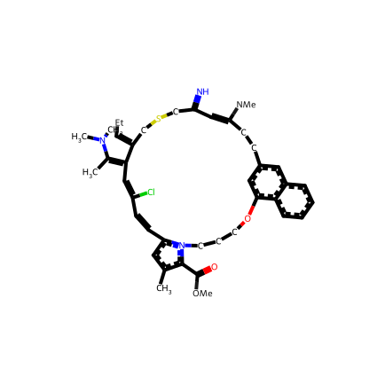 CC\C=C1/CSCC(=N)/C=C(\NC)CCc2cc(c3ccccc3c2)OCCCn2c(cc(C)c2C(=O)OC)\C=C/C(Cl)=C/C1=C(\C)N(C)C